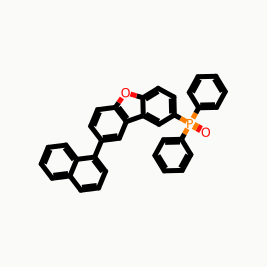 O=P(c1ccccc1)(c1ccccc1)c1ccc2oc3ccc(-c4cccc5ccccc45)cc3c2c1